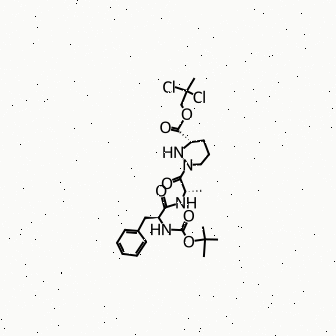 C[C@H](NC(=O)[C@H](Cc1ccccc1)NC(=O)OC(C)(C)C)C(=O)N1CCC[C@@H](C(=O)OCC(C)(Cl)Cl)N1